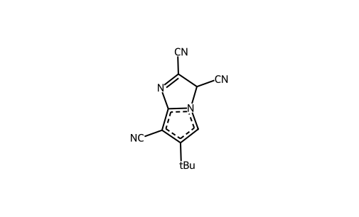 CC(C)(C)c1cn2c(c1C#N)N=C(C#N)C2C#N